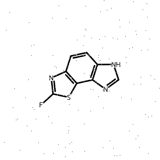 Fc1nc2ccc3[nH]cnc3c2s1